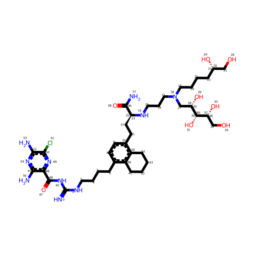 N=C(NCCCCc1ccc(CC[C@H](NCCCN(CCCC[C@H](O)CO)C[C@H](O)[C@@H](O)[C@H](O)CO)C(N)=O)c2c1CCCC2)NC(=O)c1nc(Cl)c(N)nc1N